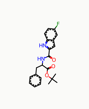 CC(C)(C)OC(=O)C(Cc1ccccc1)NC(=O)c1cc2cc(F)ccc2[nH]1